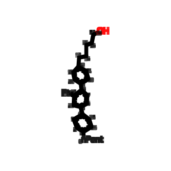 CCCCCc1ccc(-c2ccc(-c3ccc(CCCCCO)cc3)c(CC)c2)cc1